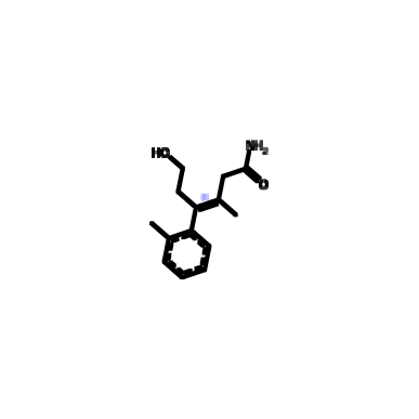 C/C(CC(N)=O)=C(/CCO)c1ccccc1C